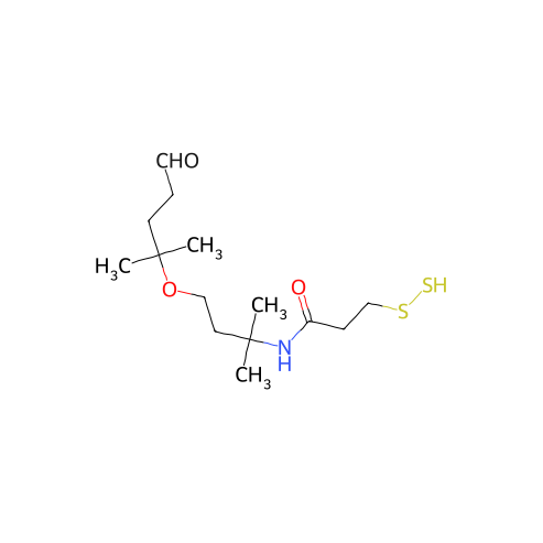 CC(C)(CCOC(C)(C)CCC=O)NC(=O)CCSS